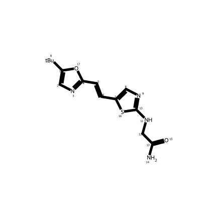 CC(C)(C)c1cnc(C=Cc2cnc(NCC(N)=O)s2)o1